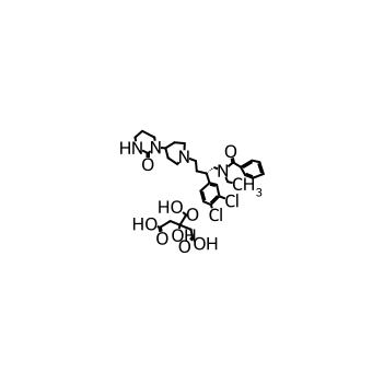 CCN(C[C@@H](CCN1CCC(N2CCCNC2=O)CC1)c1ccc(Cl)c(Cl)c1)C(=O)c1ccccc1.O=C(O)CC(O)(CC(=O)O)C(=O)O